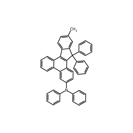 Cc1ccc2c(c1)C(c1ccccc1)(c1ccccc1)c1c-2c2ccccc2c2cc(N(c3ccccc3)c3ccccc3)ccc12